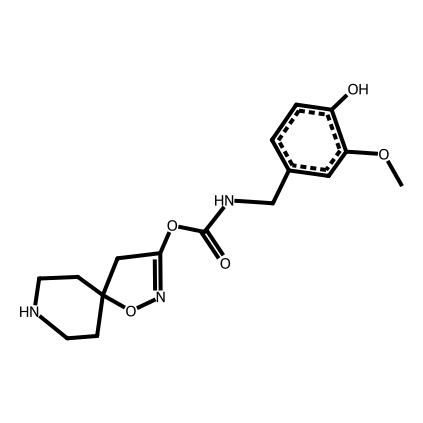 COc1cc(CNC(=O)OC2=NOC3(CCNCC3)C2)ccc1O